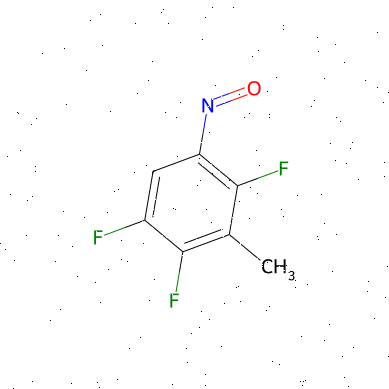 Cc1c(F)c(F)cc(N=O)c1F